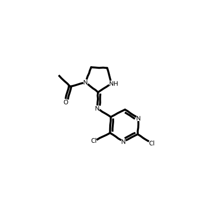 CC(=O)N1CCNC1=Nc1cnc(Cl)nc1Cl